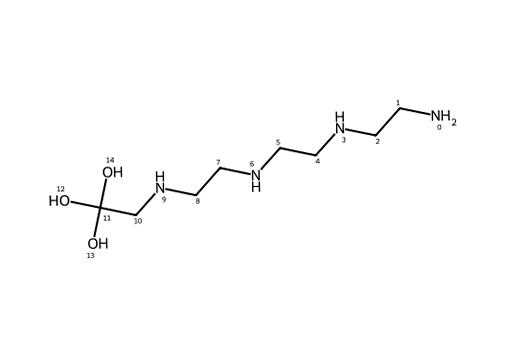 NCCNCCNCCNCC(O)(O)O